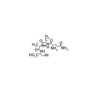 CC(C)C[C@H](NC(=O)[C@H](C)NC(=O)[C@H](C)NC(=O)[C@@H](N)CCC(N)=O)C(=O)O